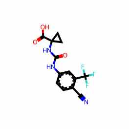 N#Cc1ccc(NC(=O)NC2(C(=O)O)CC2)cc1C(F)(F)F